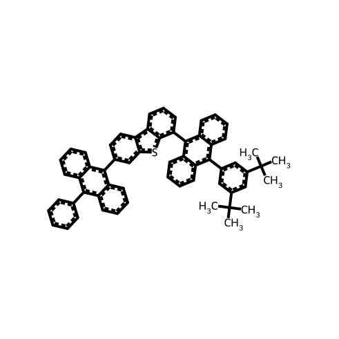 CC(C)(C)c1cc(-c2c3ccccc3c(-c3cccc4c3sc3cc(-c5c6ccccc6c(-c6ccccc6)c6ccccc56)ccc34)c3ccccc23)cc(C(C)(C)C)c1